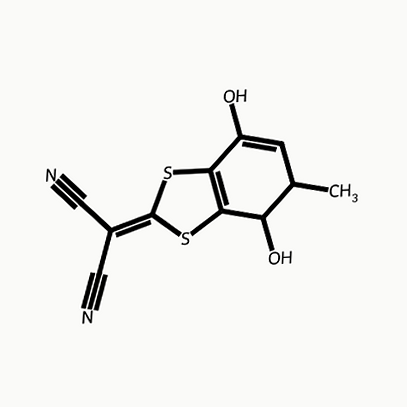 CC1C=C(O)C2=C(SC(=C(C#N)C#N)S2)C1O